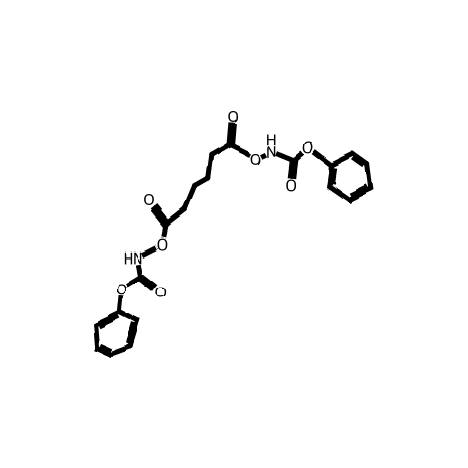 O=C(CCCCC(=O)ONC(=O)Oc1ccccc1)ONC(=O)Oc1ccccc1